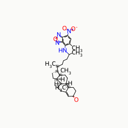 Cc1cc([N+](=O)[O-])c2nonc2c1NC(C)CCC[C@@H](C)[C@H]1CC[C@H]2[C@@H]3CCC4=CC(=O)CC[C@]4(C)[C@H]3CC[C@]12C